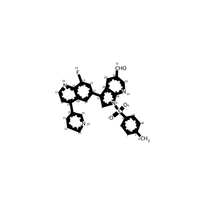 Cc1ccc(S(=O)(=O)n2cc(-c3cc(F)c4nccc(-c5cccnc5)c4c3)c3cc(C=O)cnc32)cc1